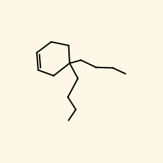 CCCCC1(CCCC)CC=CCC1